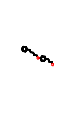 O=CCCc1ccc(OCCCCCc2ccccc2)cc1